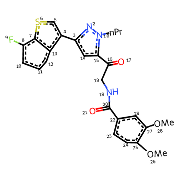 CCCn1nc(-c2csc3c(F)cccc23)cc1C(=O)CNC(=O)c1ccc(OC)c(OC)c1